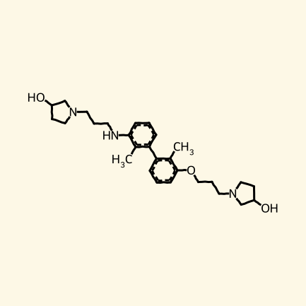 Cc1c(NCCCN2CCC(O)C2)cccc1-c1cccc(OCCCN2CCC(O)C2)c1C